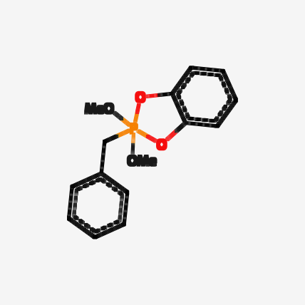 COP1(Cc2ccccc2)(OC)Oc2ccccc2O1